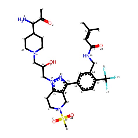 CC(=O)C(N)C1CCN(CC(O)Cn2nc(-c3ccc(C(F)(F)F)c(CNC(=O)C=C(C)C)c3)c3c2CCN(S(C)(=O)=O)C3)CC1